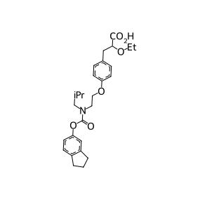 CCOC(Cc1ccc(OCCN(CC(C)C)C(=O)Oc2ccc3c(c2)CCC3)cc1)C(=O)O